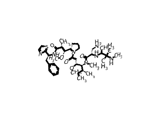 CC[C@H](C)[C@@H]([C@@H](CC(=O)N1CCC[C@H]1[C@H](OC)[C@@H](C)C(=O)N[C@@H](Cc1ccccc1)c1nccs1)OC)N(C)C(=O)[C@H](CN)NC(C)C(C)(C)NC